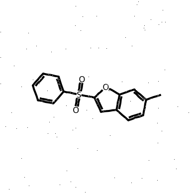 Cc1ccc2cc(S(=O)(=O)c3ccccc3)oc2c1